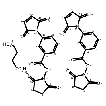 O=C(O)CCC(=O)O.O=C(ON1C(=O)CCC1=O)c1cccc(N2C(=O)C=CC2=O)c1.O=C(ON1C(=O)CCC1=O)c1cccc(N2C(=O)C=CC2=O)c1